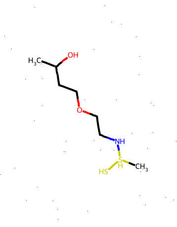 CC(O)CCOCCN[SH](C)S